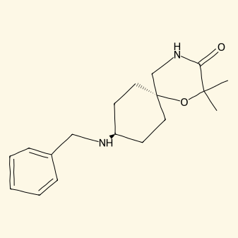 CC1(C)O[C@]2(CC[C@H](NCc3ccccc3)CC2)CNC1=O